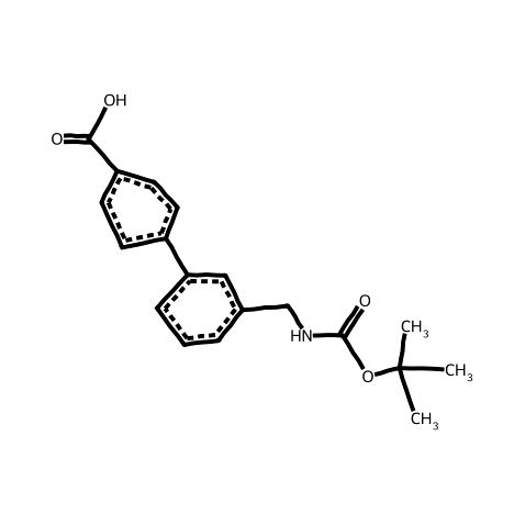 CC(C)(C)OC(=O)NCc1cccc(-c2ccc(C(=O)O)cc2)c1